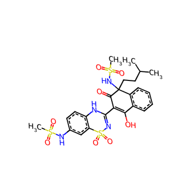 CC(C)CCC1(NS(C)(=O)=O)C(=O)C(C2=NS(=O)(=O)c3cc(NS(C)(=O)=O)ccc3N2)=C(O)c2ccccc21